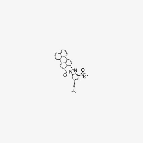 CC(C)C#Cc1cc([N+](=O)[O-])c2nc3c4ccc5c6cccc7cccc(c8ccc(c(=O)n3c2c1)c4c85)c76